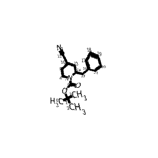 CC(C)(C)OC(=O)N1CCC(C#N)CC1Cc1ccccc1